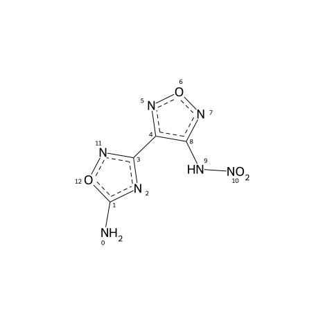 Nc1nc(-c2nonc2N[N+](=O)[O-])no1